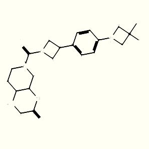 CC1(F)CN(c2ccc(C3CN(C(=O)N4CCC5OCC(=O)NC5C4)C3)cc2)C1